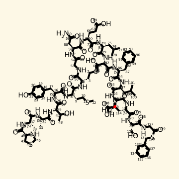 CSCC[C@H](NC(=O)[C@H](CCSC)NC(=O)[C@H](Cc1ccc(O)cc1)NC(=O)[C@@H](NC(=O)[C@H](C)NC(=O)[C@H](C)NC(=O)[C@@H]1CSCN1)C(C)O)C(=O)NCC(=O)N[C@@H](CC(N)=O)C(=O)N[C@@H](CCC(=O)O)C(=O)N[C@@H](CC(C)C)C(=O)N[C@H](C(=O)N[C@@H](Cc1ccccc1)C(=O)N[C@@H](CC(C)C)C(=O)N[C@@H](CC(=O)O)C(=O)N[C@@H](CC(=O)O)C(=O)N[C@@H](CO)C(=O)NCC(=O)SCc1ccccc1)C(C)O